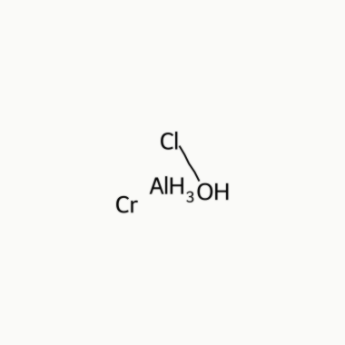 OCl.[AlH3].[Cr]